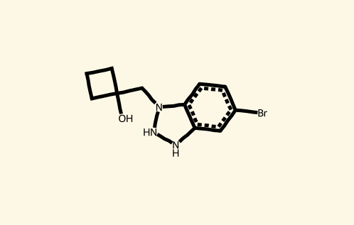 OC1(CN2NNc3cc(Br)ccc32)CCC1